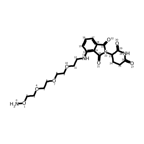 NOCCOCCOCCOCCNc1cccc2c1C(=O)N(C1CCC(=O)NC1=O)C2=O